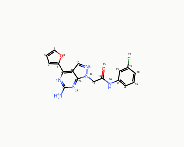 Nc1nc(-c2ccco2)c2cnn(CC(=O)Nc3cccc(Cl)c3)c2n1